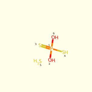 OP(O)(=S)S.S